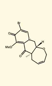 COc1c2n(cc(Br)c1=O)C[C@@H]1OCC=CC[C@@]1(C)C2=O